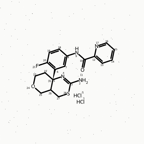 Cl.Cl.NC1=N[C@@]2(c3cc(NC(=O)c4ccccn4)ccc3F)CCOCC2CS1